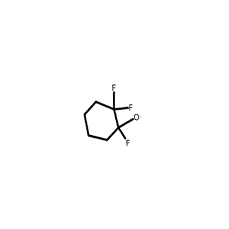 [O]C1(F)CCCCC1(F)F